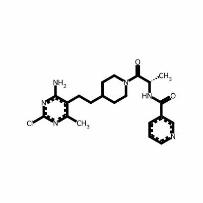 Cc1nc(Cl)nc(N)c1CCC1CCN(C(=O)[C@H](C)NC(=O)c2cccnc2)CC1